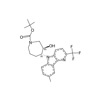 Cc1ccc2c(c1)c1nc(C(F)(F)F)ccc1n2[C@@H]1CCCN(C(=O)OC(C)(C)C)C[C@H]1O